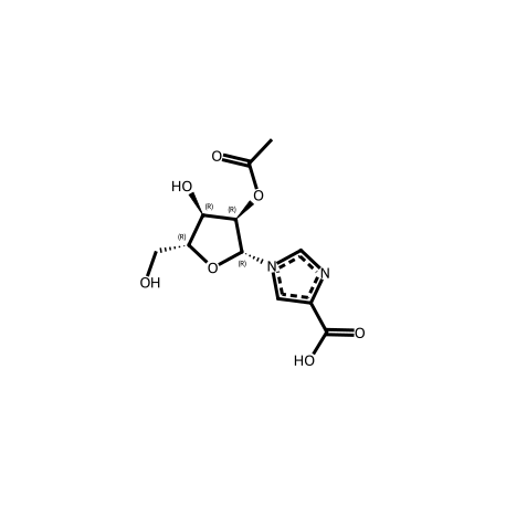 CC(=O)O[C@@H]1[C@H](O)[C@@H](CO)O[C@H]1n1cnc(C(=O)O)c1